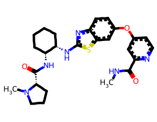 CNC(=O)c1cc(Oc2ccc3nc(N[C@H]4CCCC[C@H]4NC(=O)[C@@H]4CCCN4C)sc3c2)ccn1